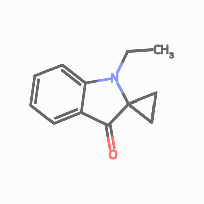 CCN1c2ccccc2C(=O)C12CC2